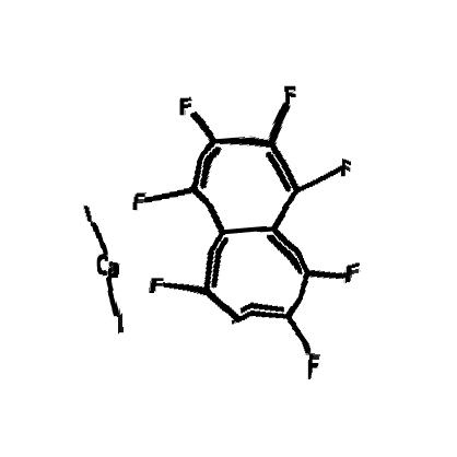 Fc1[c]c(F)c2c(F)c(F)c(F)c(F)c2c1F.[I][Ca][I]